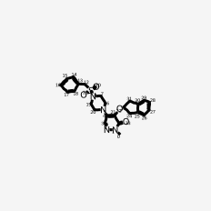 Cn1ncc(N2CCN(S(=O)(=O)Cc3ccccc3)CC2)c(OC2Cc3ccccc3C2)c1=O